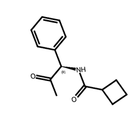 CC(=O)[C@H](NC(=O)C1CCC1)c1ccccc1